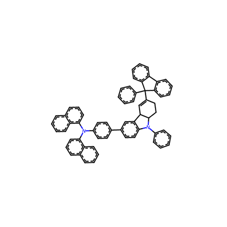 C1=C(C2(c3ccccc3)c3ccccc3-c3ccccc32)CCC2C1c1cc(-c3ccc(N(c4cccc5ccccc45)c4cccc5ccccc45)cc3)ccc1N2c1ccccc1